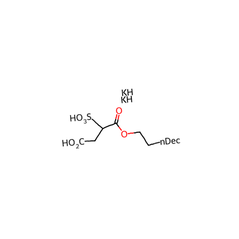 CCCCCCCCCCCCOC(=O)C(CC(=O)O)S(=O)(=O)O.[KH].[KH]